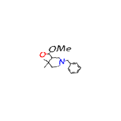 COC(=O)C1CN(Cc2ccccc2)CCC1(C)C